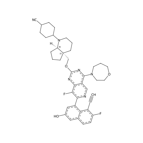 C#Cc1c(F)ccc2cc(O)cc(-c3ncc4c(N5CCCOCC5)nc(OC[C@]56CCC[C@H]5N(C5CCC(C#N)CC5)CCC6)nc4c3F)c12